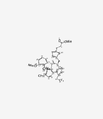 COC(=O)CCc1cnc(C[C@@H]2S[C@@H](c3cccc(OC)c3OC)c3cc(Cl)ccc3-n3c(CC(F)(F)F)nnc32)s1